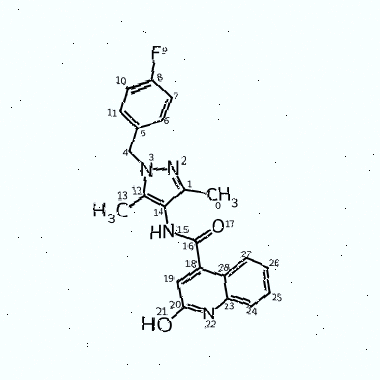 Cc1nn(Cc2ccc(F)cc2)c(C)c1NC(=O)c1cc(O)nc2ccccc12